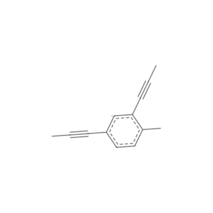 CC#Cc1[c]c(C#CC)c(C)cc1